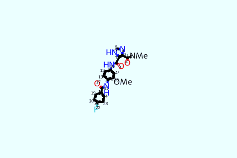 CNC(=O)c1nc[nH]c1C(=O)Nc1ccc(NC(=O)c2ccc(F)cc2)c(OC)c1